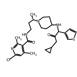 Cc1cc(Cl)nc(C)c1C(=O)NCC[C@@H](C)N1CCC(NC(C(=O)CC2CC2)c2ccsc2)CC1